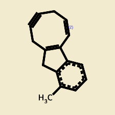 Cc1cccc2c1CC1=C2/C=C\CC#CC1